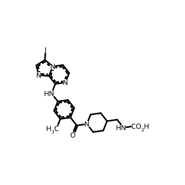 Cc1cc(Nc2nccn3c(I)cnc23)ccc1C(=O)N1CCC(CNC(=O)O)CC1